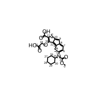 COC(=O)N(c1ccc2cc3sc(C(=O)O)c(OCC(=O)O)c3c-2s1)C1CCCCC1